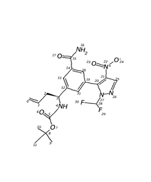 C=CC[C@H](NC(=O)OC(C)(C)C)c1cc(C(N)=O)cc(-c2c([N+](=O)[O-])cnn2C(F)F)c1